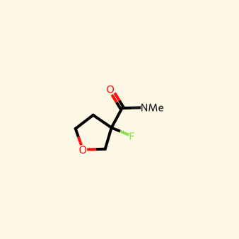 CNC(=O)C1(F)CCOC1